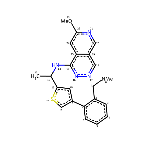 CNCc1ccccc1-c1csc(C(C)Nc2nncc3cnc(OC)cc23)c1